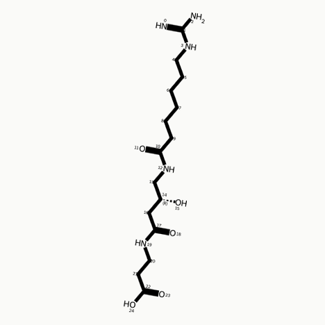 N=C(N)NCCCCCCC(=O)NC[C@H](O)CC(=O)NCCC(=O)O